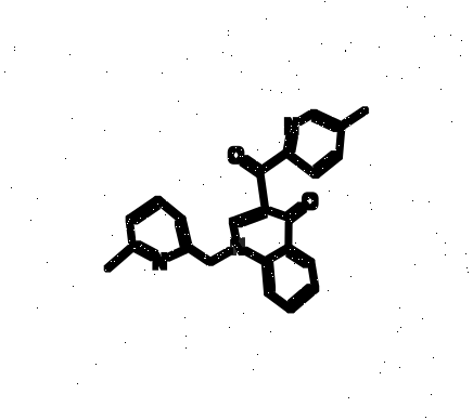 Cc1ccc(C(=O)c2cn(Cc3cccc(C)n3)c3ccccc3c2=O)nc1